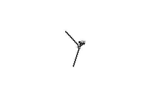 CCCCCCCCCCCCCCCCCCOP(=O)(Cc1cc(C(C)(C)C)c(O)c(C(C)(C)C)c1)OCCCCCCCCCCCCCCCCCC